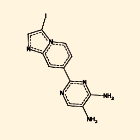 Nc1cnc(-c2ccn3c(I)cnc3c2)nc1N